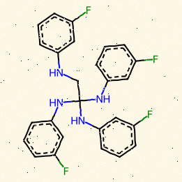 Fc1cccc(NCC(Nc2cccc(F)c2)(Nc2cccc(F)c2)Nc2cccc(F)c2)c1